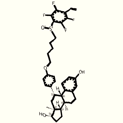 C=Cc1c(F)c(F)c([S+]([O-])CCCCCOc2ccc([C@H]3C[C@]4(C)[C@@H](O)CC[C@H]4[C@@H]4CCc5cc(O)ccc5[C@H]43)cc2)c(F)c1F